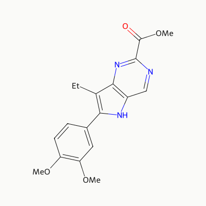 CCc1c(-c2ccc(OC)c(OC)c2)[nH]c2cnc(C(=O)OC)nc12